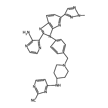 Cn1ncc(-c2ccc3nc(-c4nccnc4N)n(-c4ccc(CN5CCC(Nc6ccnc(C#N)n6)CC5)cc4)c3n2)n1